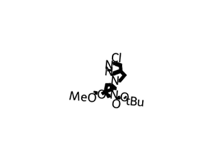 COCOC12CN(C(=O)OC(C)(C)C)CC(N3CCc4cc(Cl)nnc43)(C1)C2